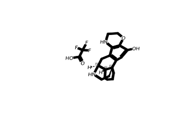 O=C(O)C(F)(F)F.Oc1cc2c(c3c1OCCN3)C[C@@H]1NCC[C@]23CCCC[C@H]13